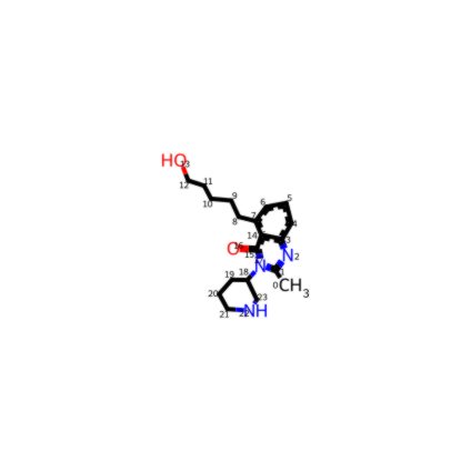 Cc1nc2cccc(CCCCCO)c2c(=O)n1C1CCCNC1